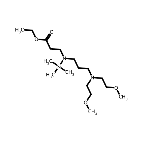 CCOC(=O)CCN(CCCN(CCOC)CCOC)[Si](C)(C)C